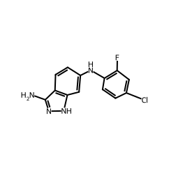 Nc1n[nH]c2cc(Nc3ccc(Cl)cc3F)ccc12